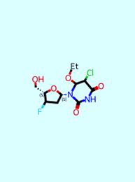 CCOC1C(Cl)C(=O)NC(=O)N1[C@@H]1CC(F)[C@H](CO)O1